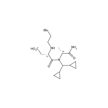 C[C@H](C(N)=O)N(C(=O)[C@H](CC(=O)O)NCCC(C)(C)C)C(C1CC1)C1CC1